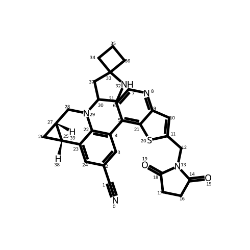 N#Cc1cc(-c2ccnc3cc(CN4C(=O)CCC4=O)sc23)c2c(c1)[C@@H]1C[C@@H]1CN2C1CNC2(CCC2)C1